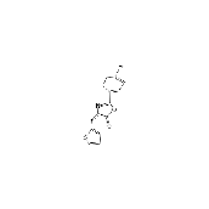 O=C1OC(C2=CC=C(Br)CC2)=N/C1=C/c1cccs1